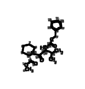 COC(=O)[C@@H]1CCCCN1C(=O)[C@@H](NC(=O)OCc1ccccc1)C(C)C